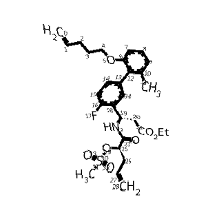 C=CCCCOc1cccc(C)c1-c1ccc(F)c([C@H](CC(=O)OCC)NC(=O)[C@@H](CC=C)OS(C)(=O)=O)c1